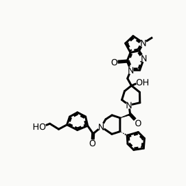 Cn1ccc2c(=O)n(CC3(O)CCN(C(=O)[C@@H]4CCN(C(=O)c5cccc(CCO)c5)C[C@H]4c4ccccc4)CC3)cnc21